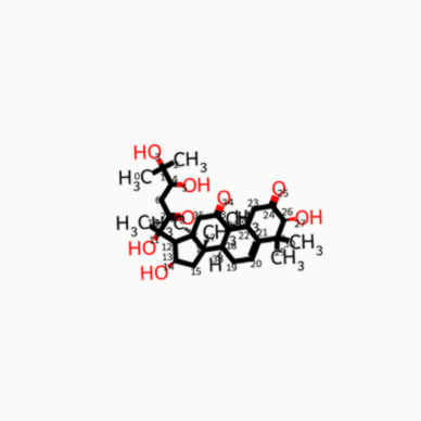 CC(C)(O)C(O)CC(=O)C(C)(O)C1[C@H](O)C[C@@]2(C)[C@@H]3CC=C4[C@@H](CC(=O)[C@@H](O)C4(C)C)[C@]3(C)C(=O)C[C@]12C